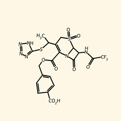 CC(Sc1nnn[nH]1)C1=C(C(=O)OCc2ccc(C(=O)O)cc2)N2C(=O)C(NC(=O)C(F)(F)F)C2S(=O)(=O)C1